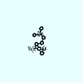 CC1(C)C2=CC3c4ccccc4C4(CCCCC4)C3C=C2c2c(-c3cccc(-c4cccc(-c5nc(-c6ccccc6)nc(-c6ccccc6)n5)c4)c3)cccc21